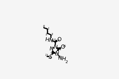 CCCCNC(=O)n1nc(SC)n(N)c1=O